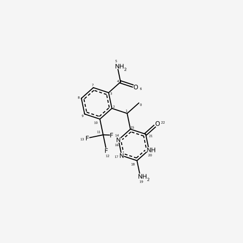 CC(c1c(C(N)=O)cccc1C(F)(F)F)c1nnc(N)[nH]c1=O